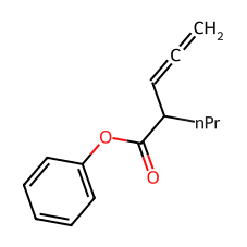 C=C=CC(CCC)C(=O)Oc1ccccc1